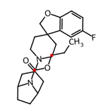 CCCOC(=O)N1C2CCC1CC(N1CCC3(CC1)COc1ccc(F)cc13)C2